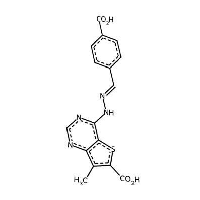 Cc1c(C(=O)O)sc2c(NN=Cc3ccc(C(=O)O)cc3)ncnc12